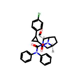 O=C[C@@H]1C2CC[C@@H](CN1C(=O)N(c1ccccc1)c1ccccc1)N2C(=O)C1CC1c1ccc(Br)cc1